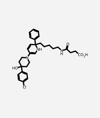 O=C(O)CCC(=O)NCCCCCC1(c2ccccc2)C=CC(N2CCC(O)(c3ccc(Cl)cc3)CC2)=CN1